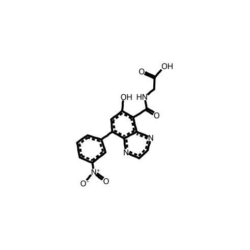 O=C(O)CNC(=O)c1c(O)cc(-c2cccc([N+](=O)[O-])c2)c2nccnc12